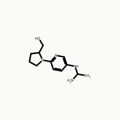 CC(N)Nc1ccc(N2CCCC2CO)nc1